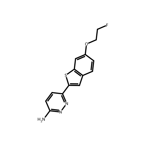 Nc1ccc(-c2cc3ccc(OCCF)cc3s2)nn1